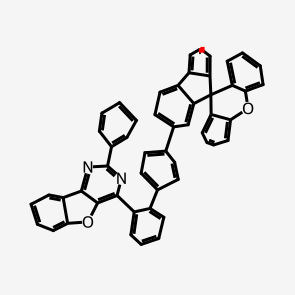 c1ccc(-c2nc(-c3ccccc3-c3ccc(-c4ccc5c(c4)C4(c6ccccc6Oc6ccccc64)c4ccccc4-5)cc3)c3oc4ccccc4c3n2)cc1